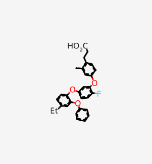 CCc1ccc(Oc2ccc(F)c(Oc3ccc(CCC(=O)O)c(C)c3)c2)c(Oc2ccccc2)c1